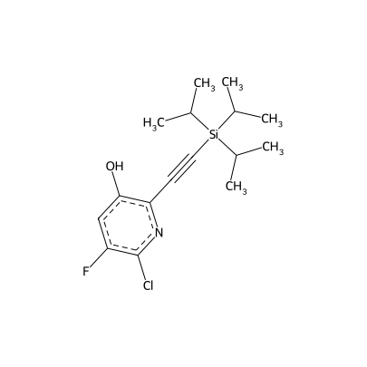 CC(C)[Si](C#Cc1nc(Cl)c(F)cc1O)(C(C)C)C(C)C